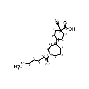 COCCCOC(=O)N1CCCC(N2CCC(C#N)(C(=O)O)CC2)CC1